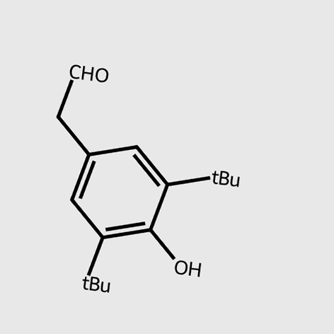 CC(C)(C)c1cc(CC=O)cc(C(C)(C)C)c1O